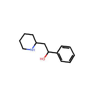 OC(CC1CCCCN1)c1ccccc1